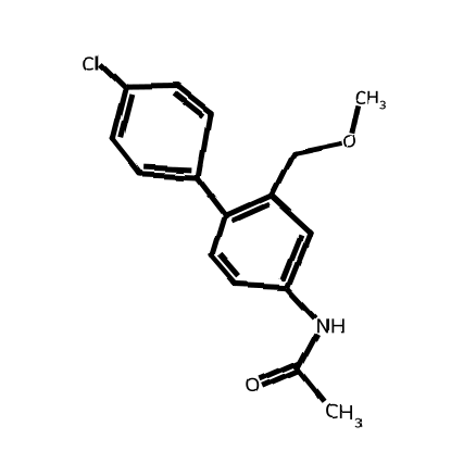 COCc1cc(NC(C)=O)ccc1-c1ccc(Cl)cc1